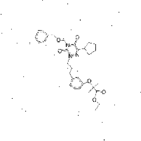 CCOC(=O)C(C)(C)Oc1cccc(CCCn2nc(C3CCCC3)c(=O)n(COCc3ccccc3)c2=O)c1